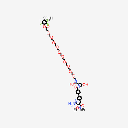 CCCN(OCC)C(=O)C1=Cc2ccc(-c3ccc(C(=O)N4C[C@H](O)CC4C4C(O)N4CCOCCOCCOCCOCCOCCOCCOCCOCCOCCOCCC(=O)Oc4c(F)c(F)c(S(=O)(=O)O)c(F)c4F)cc3)cc2N=C(N)C1